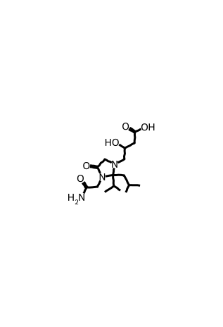 CC(C)CC1(C(C)C)N(CC(O)CC(=O)O)CC(=O)N1CC(N)=O